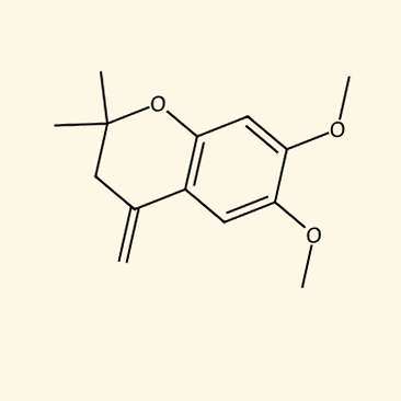 C=C1CC(C)(C)Oc2cc(OC)c(OC)cc21